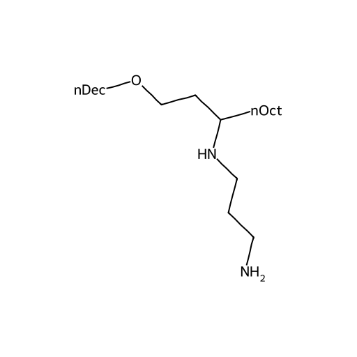 CCCCCCCCCCOCCC(CCCCCCCC)NCCCN